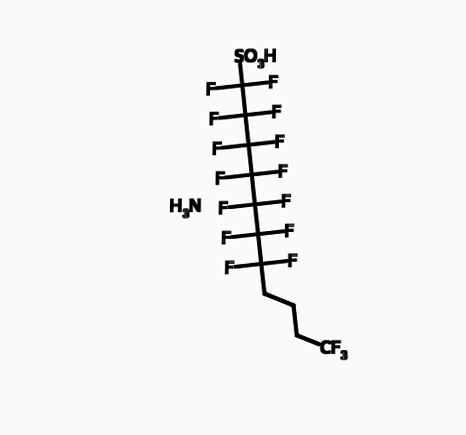 N.O=S(=O)(O)C(F)(F)C(F)(F)C(F)(F)C(F)(F)C(F)(F)C(F)(F)C(F)(F)CCCC(F)(F)F